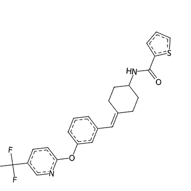 O=C(NC1CCC(=Cc2cccc(Oc3ccc(C(F)(F)F)cn3)c2)CC1)c1cccs1